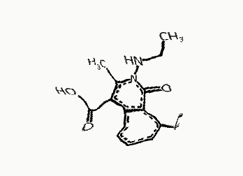 CCNn1c(C)c(C(=O)O)c2cccc(F)c2c1=O